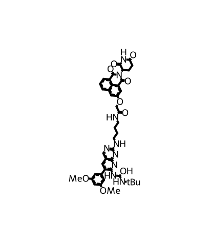 COc1cc(OC)cc(-c2cc3cnc(NCCCCNC(=O)COc4cc5c6c(cccc6c4)C(=O)N(C4CCC(=O)NC4=O)C5=O)nc3nc2NC(O)NC(C)(C)C)c1